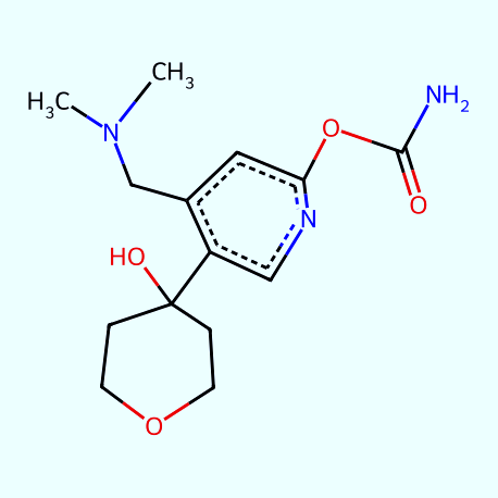 CN(C)Cc1cc(OC(N)=O)ncc1C1(O)CCOCC1